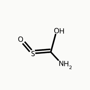 NC(O)=S=O